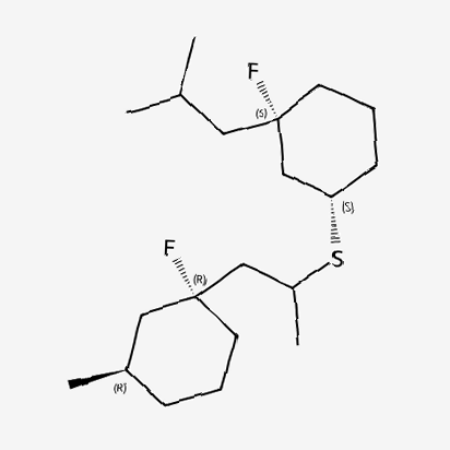 CC(C)C[C@@]1(F)CCC[C@H](SC(C)C[C@@]2(F)CCC[C@@H](C)C2)C1